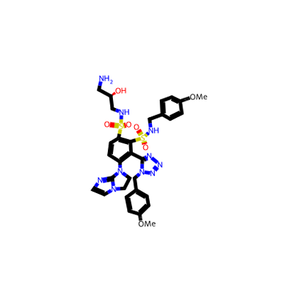 COc1ccc(CNS(=O)(=O)c2c(S(=O)(=O)NC[C@H](O)CN)ccc(N3CCn4ccnc43)c2-c2nnnn2Cc2ccc(OC)cc2)cc1